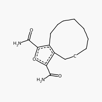 NC(=O)c1oc(C(N)=O)c2c1CCCCCCCCC2